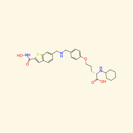 O=C(NO)c1cc2ccc(CNCc3ccc(OCCC[C@H](NC4CCCCC4)C(=O)O)cc3)cc2s1